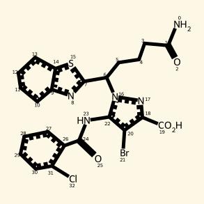 NC(=O)CCCC(c1nc2ccccc2s1)n1nc(C(=O)O)c(Br)c1NC(=O)c1ccccc1Cl